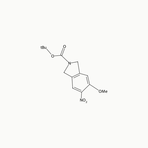 COc1cc2c(cc1[N+](=O)[O-])CN(C(=O)OC(C)(C)C)C2